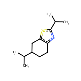 CC(C)c1nc2c(s1)CC(C(C)C)CC2